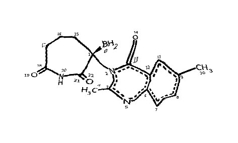 B[C@]1(n2c(C)nc3ccc(C)cc3c2=O)CCCC(=O)NC1=O